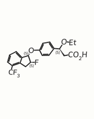 CCO[C@@H](CC(=O)O)c1ccc(O[C@H]2c3cccc(C(F)(F)F)c3C[C@@H]2F)cc1